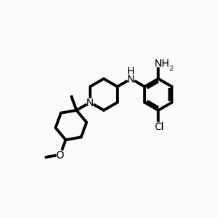 COC1CCC(C)(N2CCC(Nc3cc(Cl)ccc3N)CC2)CC1